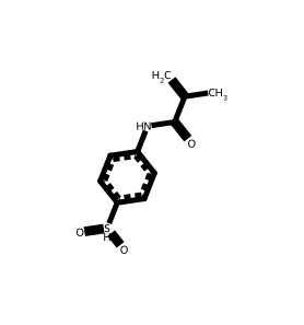 C=C(C)C(=O)Nc1ccc([SH](=O)=O)cc1